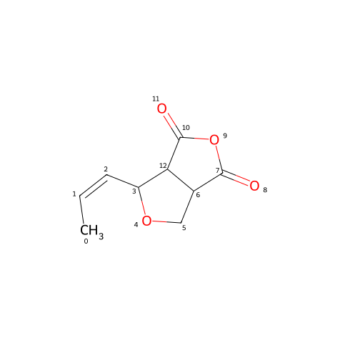 C/C=C\C1OCC2C(=O)OC(=O)C12